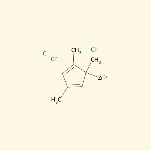 CC1=C[C](C)([Zr+3])C(C)=C1.[Cl-].[Cl-].[Cl-]